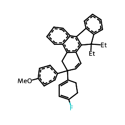 CCC1(CC)c2ccccc2-c2c1c1c(c3ccccc23)CC(C2=CC=C(F)CC2)(c2ccc(OC)cc2)C=C1